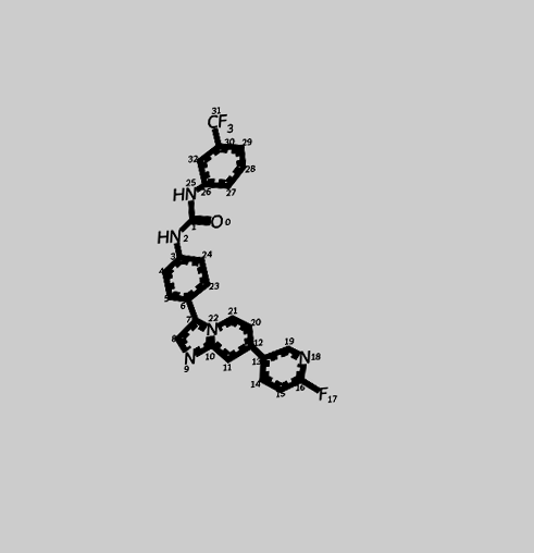 O=C(Nc1ccc(-c2cnc3cc(-c4ccc(F)nc4)ccn23)cc1)Nc1cccc(C(F)(F)F)c1